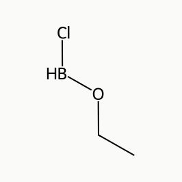 CCOBCl